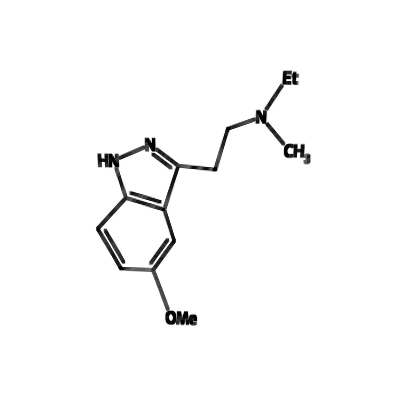 CCN(C)CCc1n[nH]c2ccc(OC)cc12